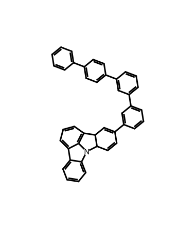 C1=CC2C(C=C1c1cccc(-c3cccc(-c4ccc(-c5ccccc5)cc4)c3)c1)c1cccc3c4ccccc4n2c13